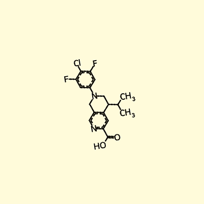 CC(C)C1CN(c2cc(F)c(Cl)c(F)c2)Cc2cnc(C(=O)O)cc21